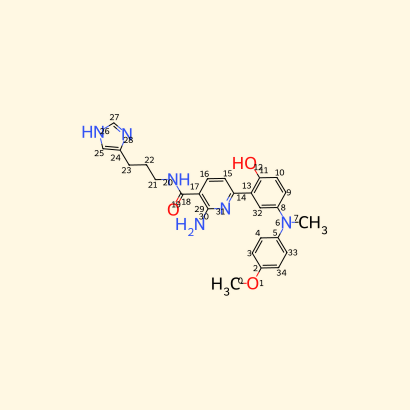 COc1ccc(N(C)c2ccc(O)c(-c3ccc(C(=O)NCCCc4c[nH]cn4)c(N)n3)c2)cc1